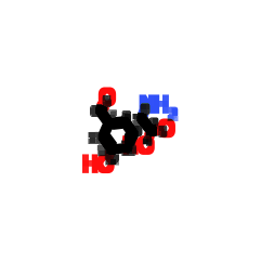 NCC(=O)O.O=Cc1cccc(O)c1